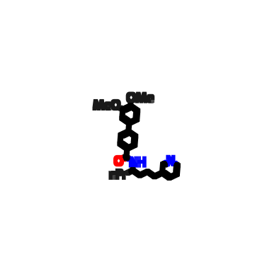 CCCC(CCCc1cccnc1)NC(=O)c1ccc(-c2ccc(OC)c(OC)c2)cc1